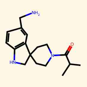 CC(C)C(=O)N1CCC2(CC1)CNc1ccc(CN)cc12